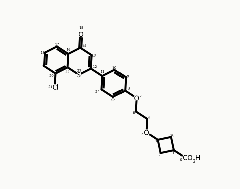 O=C(O)C1CC(OCCOc2ccc(-c3cc(=O)c4cccc(Cl)c4s3)cc2)C1